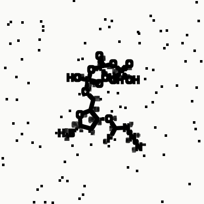 B[C@H]1C[C@@H](OC(F)N=[N+]=[N-])C(COP(=O)(O)OP(=O)(O)OP(=O)(O)O)O1